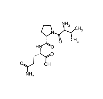 CC(C)[C@H](N)C(=O)N1CCC[C@H]1C(=O)N[C@@H](CCC(N)=O)C(=O)O